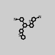 N#Cc1cccc(-c2cc(-c3ccc4sc5ccccc5c4c3)cc(-c3cccc4c3sc3ccc(C#N)cc34)c2)c1